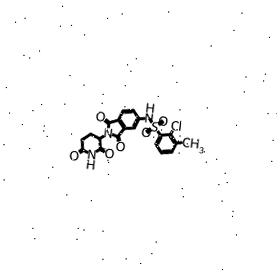 Cc1cccc(S(=O)(=O)Nc2ccc3c(c2)C(=O)N(C2CCC(=O)NC2=O)C3=O)c1Cl